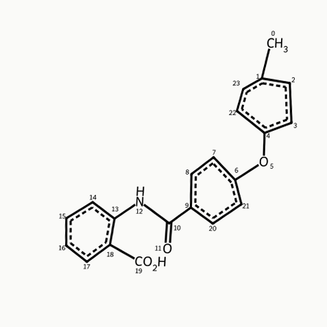 Cc1ccc(Oc2ccc(C(=O)Nc3ccccc3C(=O)O)cc2)cc1